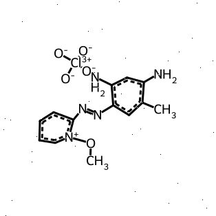 CO[n+]1ccccc1N=Nc1cc(C)c(N)cc1N.[O-][Cl+3]([O-])([O-])[O-]